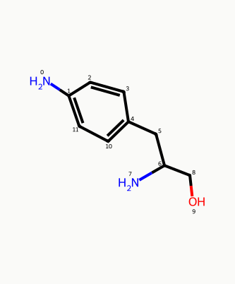 Nc1ccc(CC(N)CO)cc1